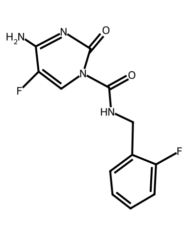 Nc1nc(=O)n(C(=O)NCc2ccccc2F)cc1F